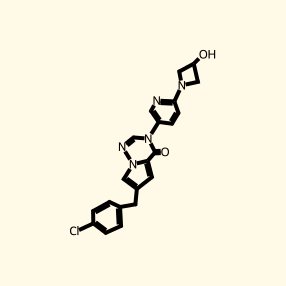 O=c1c2cc(Cc3ccc(Cl)cc3)cn2ncn1-c1ccc(N2CC(O)C2)nc1